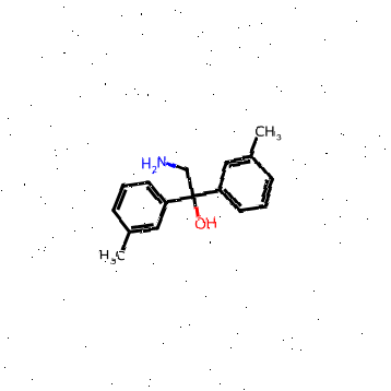 Cc1cccc(C(O)(CN)c2cccc(C)c2)c1